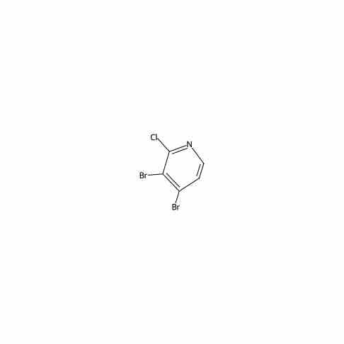 Clc1nccc(Br)c1Br